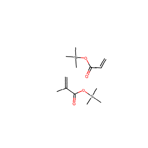 C=C(C)C(=O)O[Si](C)(C)C.C=CC(=O)O[Si](C)(C)C